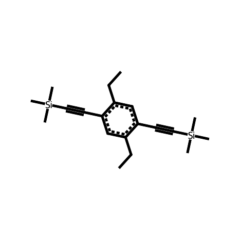 CCc1cc(C#C[Si](C)(C)C)c(CC)cc1C#C[Si](C)(C)C